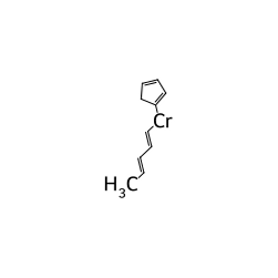 CC=CC=[CH][Cr][C]1=CC=CC1